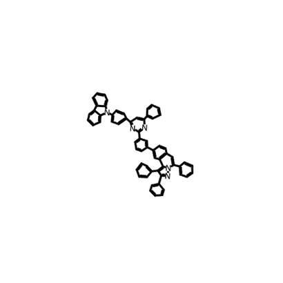 c1ccc(-c2cc(-c3ccc(-n4c5ccccc5c5ccccc54)cc3)nc(-c3cccc(-c4ccc5cc(-c6ccccc6)n6nc(-c7ccccc7)c(-c7ccccc7)c6c5c4)c3)n2)cc1